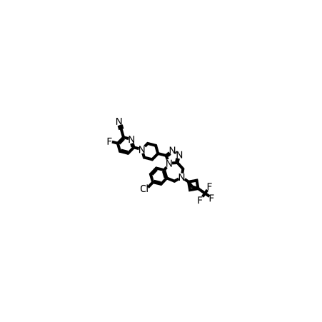 N#Cc1nc(N2CCC(c3nnc4n3-c3ccc(Cl)cc3CN(C35CC(C(F)(F)F)(C3)C5)C4)CC2)ccc1F